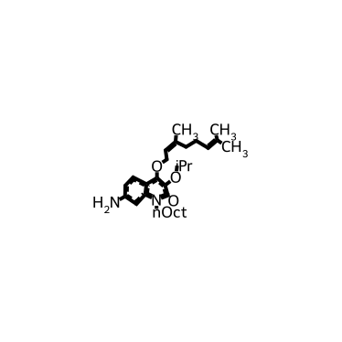 CCCCCCCCn1c(=O)c(OC(C)C)c(OCC=C(C)CCC=C(C)C)c2ccc(N)cc21